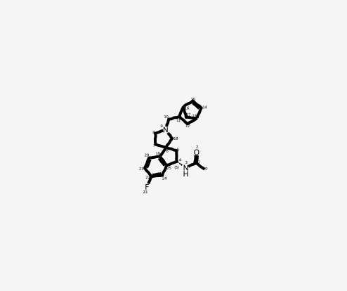 CC(=O)N[C@H]1CC2(CCN(CC3CC4C=CC3C4)C2)c2ccc(F)cc21